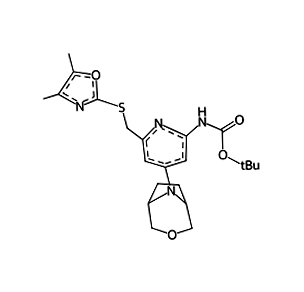 Cc1nc(SCc2cc(N3C4CCC3COC4)cc(NC(=O)OC(C)(C)C)n2)oc1C